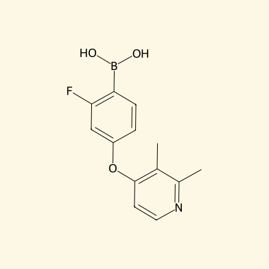 Cc1nccc(Oc2ccc(B(O)O)c(F)c2)c1C